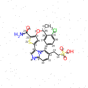 C[C@@H](Oc1cc(-c2cnc3ccc(CCS(=O)(=O)O)cn23)sc1C(N)=O)c1ccccc1Cl